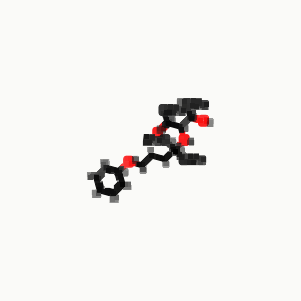 COC(=O)C(O[Si](CCCOc1ccccc1)(OC)OC)C(=O)OC